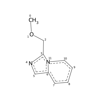 COCc1ncc2ccccn12